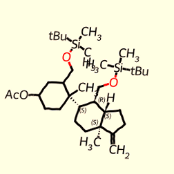 C=C1CC[C@H]2[C@H](CO[Si](C)(C)C(C)(C)C)[C@@H](C3(C)CCC(OC(C)=O)CC3CO[Si](C)(C)C(C)(C)C)CC[C@]12C